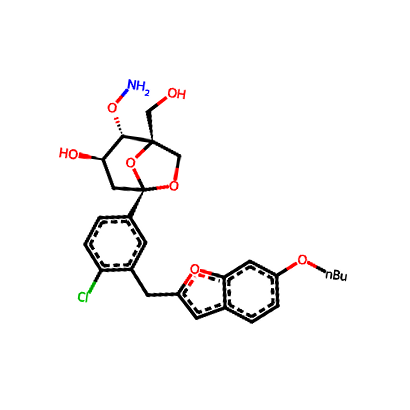 CCCCOc1ccc2cc(Cc3cc([C@]45C[C@@H](O)[C@H](ON)[C@](CO)(CO4)O5)ccc3Cl)oc2c1